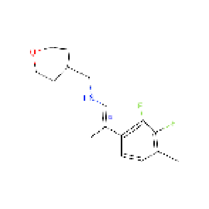 C/C(=C\NCC1CCOCC1)c1ccc(C)c(F)c1F